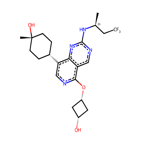 C[C@@H](CC(F)(F)F)Nc1ncc2c(O[C@H]3C[C@@H](O)C3)ncc([C@H]3CC[C@@](C)(O)CC3)c2n1